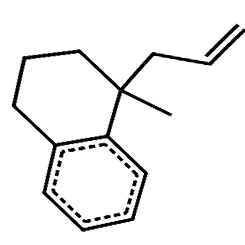 C=CCC1(C)CCCc2ccccc21